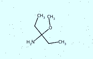 CCC(N)(CC)OC